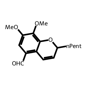 CCCCCC1C=Cc2c(C=O)cc(OC)c(OC)c2O1